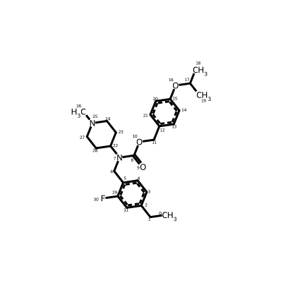 CCc1ccc(CN(C(=O)OCc2ccc(OC(C)C)cc2)C2CCN(C)CC2)c(F)c1